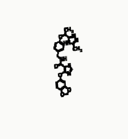 Cc1nnc(C(C)Oc2ccc(CNC(=O)c3scnc3Oc3ccc4c(c3)OCO4)cc2)[nH]1